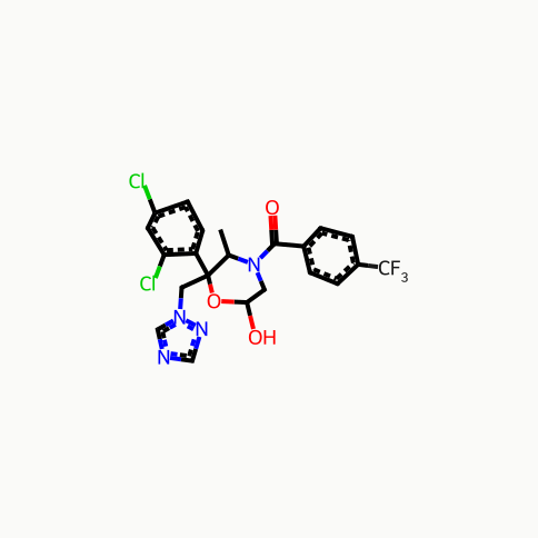 CC1N(C(=O)c2ccc(C(F)(F)F)cc2)CC(O)OC1(Cn1cncn1)c1ccc(Cl)cc1Cl